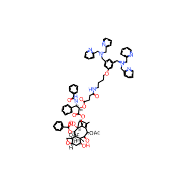 CC(=O)O[C@H]1C(=O)[C@@]2(C)[C@H]([C@H](OC(=O)c3ccccc3)[C@]3(O)C[C@H](OC(=O)[C@H](OC(=O)CCC(=O)NCCCCOc4cc(CN(Cc5ccccn5)Cc5ccccn5)cc(CN(Cc5ccccn5)Cc5ccccn5)c4)[C@@H](NC(=O)c4ccccc4)c4ccccc4)C(C)=C1C3(C)C)[C@]1(OC(C)=O)CO[C@@H]1C[C@@H]2O